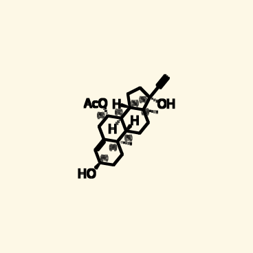 C#C[C@]1(O)CC[C@H]2[C@@H]3[C@@H](OC(C)=O)CC4=C[C@H](O)CC[C@]4(C)[C@H]3CC[C@@]21C